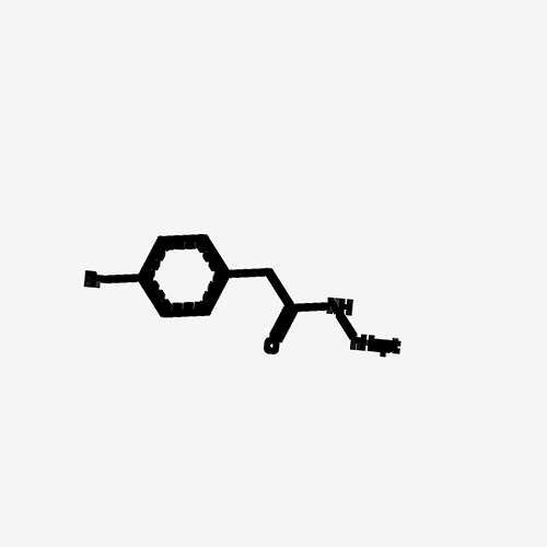 CCCCCCCNC(=O)Cc1ccc(Br)cc1